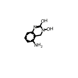 Nc1cccc2c1CN(O)C(O)=N2